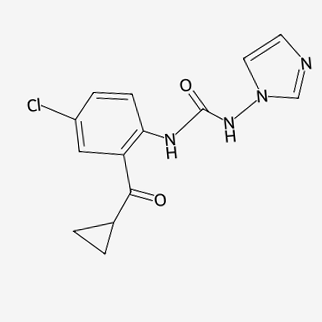 O=C(Nc1ccc(Cl)cc1C(=O)C1CC1)Nn1ccnc1